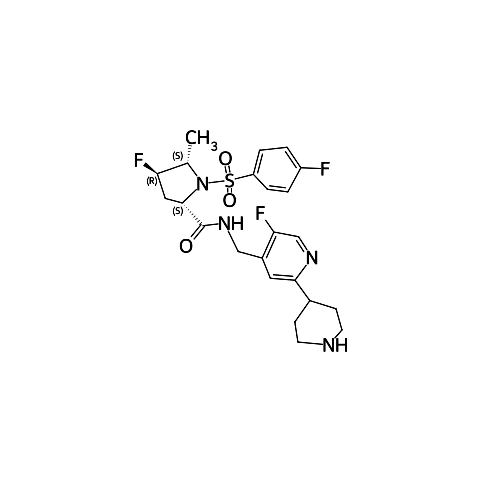 C[C@H]1[C@H](F)C[C@@H](C(=O)NCc2cc(C3CCNCC3)ncc2F)N1S(=O)(=O)c1ccc(F)cc1